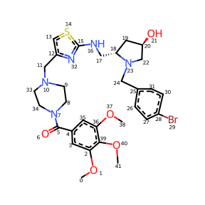 COc1cc(C(=O)N2CCN(Cc3csc(NC[C@@H]4C[C@@H](O)CN4Cc4ccc(Br)cc4)n3)CC2)cc(OC)c1OC